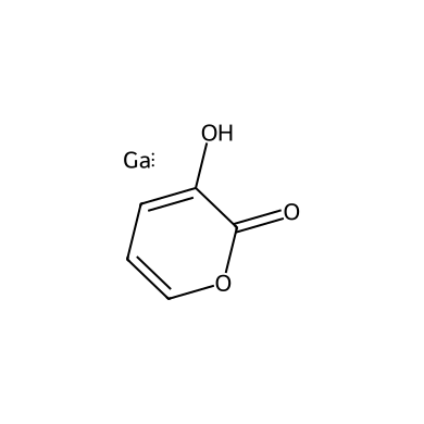 O=c1occcc1O.[Ga]